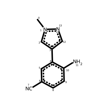 Cn1cc(-c2cc(C#N)ccc2N)cn1